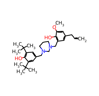 C=CCc1cc(CN2CCCN(Cc3cc(C(C)(C)C)c(O)c(C(C)(C)C)c3)C2)c(O)c(OC)c1